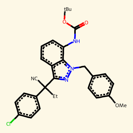 CCC(C#N)(c1ccc(Cl)cc1)c1nn(Cc2ccc(OC)cc2)c2c(NC(=O)OC(C)(C)C)cccc12